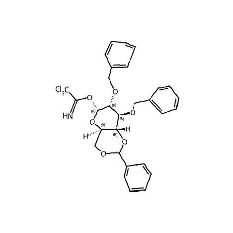 N=C(O[C@H]1O[C@@H]2COC(c3ccccc3)O[C@H]2[C@H](OCc2ccccc2)[C@H]1OCc1ccccc1)C(Cl)(Cl)Cl